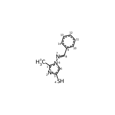 Cc1nc(S)cn1N=Cc1ccccc1